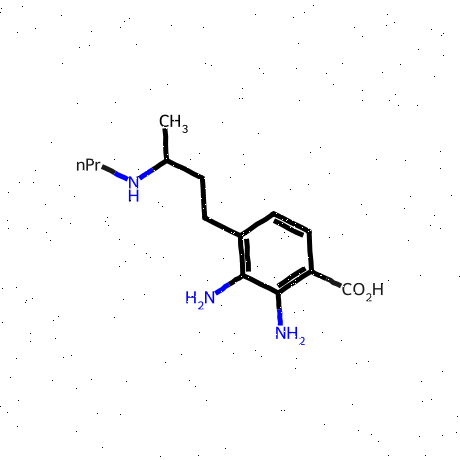 CCCNC(C)CCc1ccc(C(=O)O)c(N)c1N